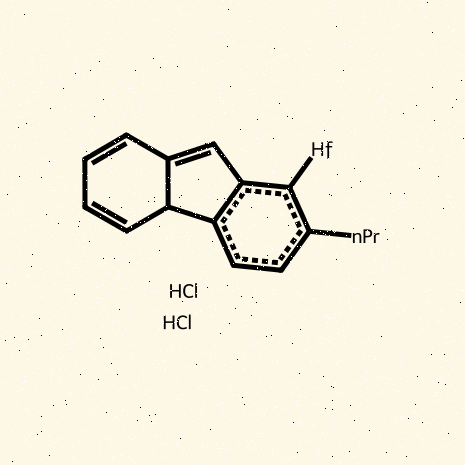 CCCc1ccc2c([c]1[Hf])C=C1C=CC=CC12.Cl.Cl